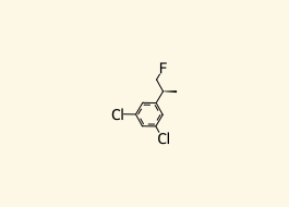 C[C@H](CF)c1cc(Cl)cc(Cl)c1